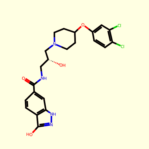 O=C(NC[C@@H](O)CN1CCC(Oc2ccc(Cl)c(Cl)c2)CC1)c1ccc2c(O)n[nH]c2c1